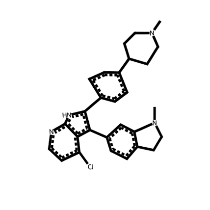 CN1CCC(c2ccc(-c3[nH]c4nccc(Cl)c4c3-c3ccc4c(c3)N(C)CC4)cc2)CC1